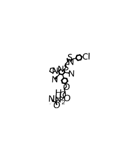 C[C@H](N)C(=O)N[C@@H](C)C(=O)OCCOc1ccc(-c2c(C#N)c(SCc3csc(-c4ccc(Cl)cc4)n3)nc(N3CCCC3)c2C#N)cc1